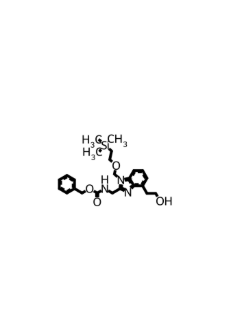 C[Si](C)(C)CCOCn1c(CNC(=O)OCc2ccccc2)nc2c(CCO)cccc21